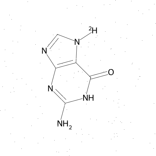 [2H]n1cnc2nc(N)[nH]c(=O)c21